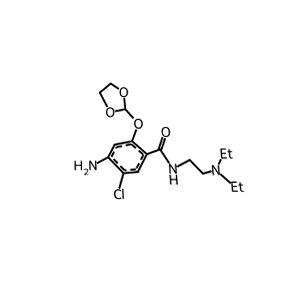 CCN(CC)CCNC(=O)c1cc(Cl)c(N)cc1OC1OCCO1